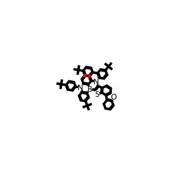 CC(C)(C)c1ccc(-c2cc(C(C)(C)C)ccc2N2c3cccc4c3B(c3cc(C(C)(C)C)ccc3N4c3ccc(C(C)(C)C)cc3)c3sc4c(ccc5oc6c(c54)CCC=C6)c32)cc1